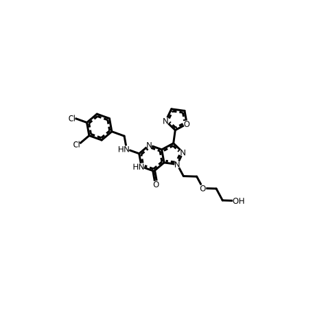 O=c1[nH]c(NCc2ccc(Cl)c(Cl)c2)nc2c(-c3ncco3)nn(CCOCCO)c12